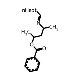 CCCCCCCC=NC(C)CC(C)OC(=O)c1ccccc1